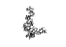 C[C@H](Oc1cc(-c2nn(C)c3c(-c4cnn(C5CCN(C)C(C(F)F)C5)c4)cnc(N)c23)ccc1NS(=O)(=O)C(F)F)c1ccc(F)cc1